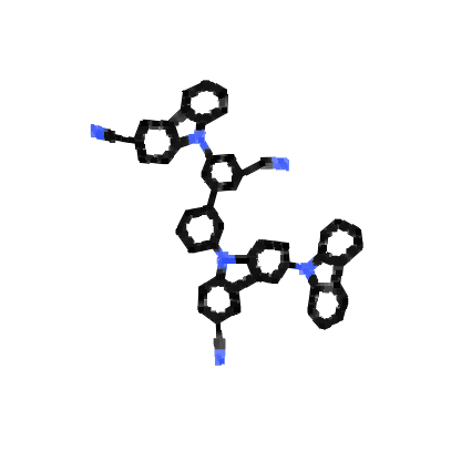 N#Cc1cc(-c2cccc(-n3c4ccc(C#N)cc4c4cc(-n5c6ccccc6c6ccccc65)ccc43)c2)cc(-n2c3ccccc3c3cc(C#N)ccc32)c1